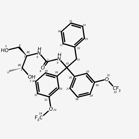 C[C@@H](O)[C@@H](CO)NC(=O)NC(Cc1ccccc1)(c1cccc(OC(F)(F)F)c1)c1cccc(OC(F)(F)F)c1